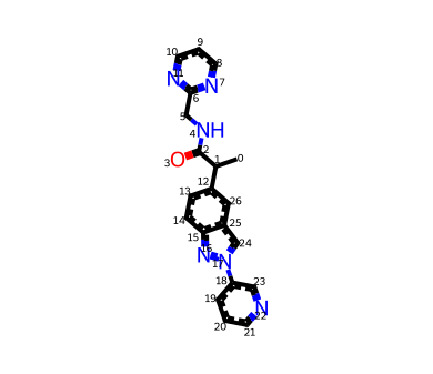 CC(C(=O)NCc1ncccn1)c1ccc2nn(-c3cccnc3)cc2c1